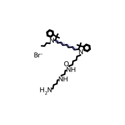 CCCCN1/C(=C/C=C/C=C/C=C/C2=[N+](CCCCCC(=O)NCCCNCCCCN)c3ccccc3C2(C)C)C(C)(C)c2ccccc21.[Br-]